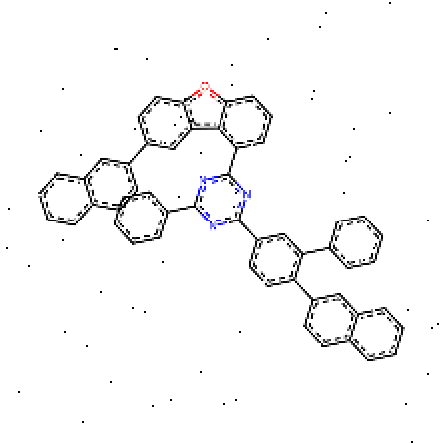 c1ccc(-c2nc(-c3ccc(-c4ccc5ccccc5c4)c(-c4ccccc4)c3)nc(-c3cccc4oc5ccc(-c6ccc7ccccc7c6)cc5c34)n2)cc1